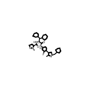 Cc1nn(Cc2ccccc2)cc1-c1ccc(NC(=O)[C@@H](NC(=O)c2ccnn2C)C(c2ccccc2)c2ccccc2)cc1F